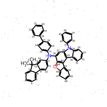 CC1(C)c2ccccc2-c2ccc(N(c3ccc(-c4ccccc4)cc3)c3cc4c(c5ccccc5n4-c4ccccc4)c4c3oc3ccccc34)cc21